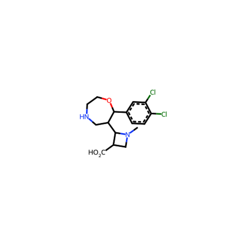 CN1CC(C(=O)O)C1C1CNCCOC1c1ccc(Cl)c(Cl)c1